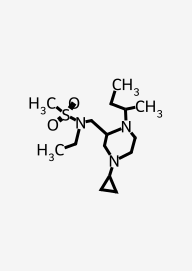 CCC(C)N1CCN(C2CC2)CC1CN(CC)S(C)(=O)=O